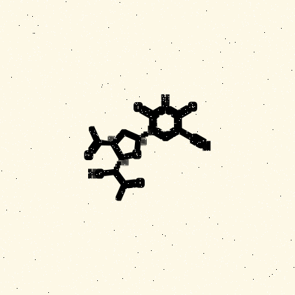 CC(=O)C(O)[C@H]1O[C@@H](n2cc(C#N)c(=O)[nH]c2=O)C[C@@H]1C(C)=O